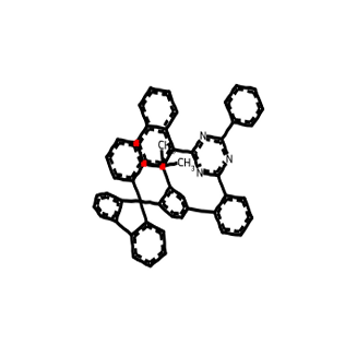 CC1(C)c2ccccc2C2(c3ccccc3-c3ccccc32)c2ccc(-c3ccccc3-c3nc(-c4ccccc4)nc(-c4cccc5ccccc45)n3)cc21